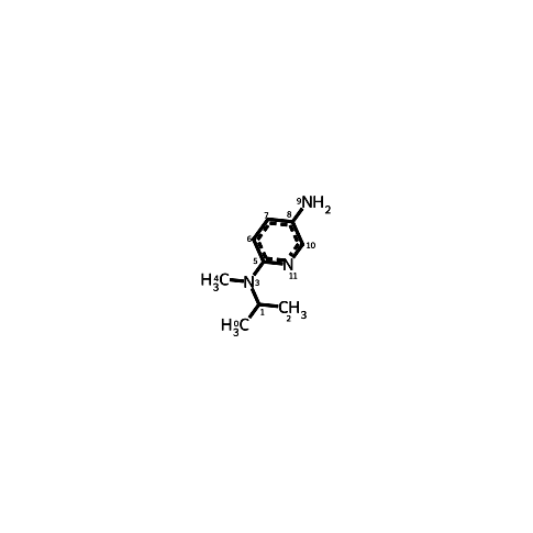 CC(C)N(C)c1ccc(N)cn1